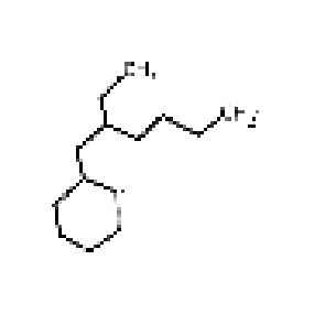 [CH2]CCCC(CC)CC1[CH]CCCC1